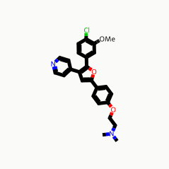 COc1cc(-c2oc(-c3ccc(OCCN(C)C)cc3)cc2-c2ccncc2)ccc1Cl